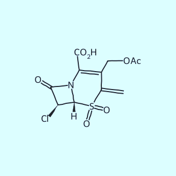 C=C1C(COC(C)=O)=C(C(=O)O)N2C(=O)[C@H](Cl)[C@H]2S1(=O)=O